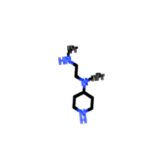 CCCN(CCNC(C)C)C1CCNCC1